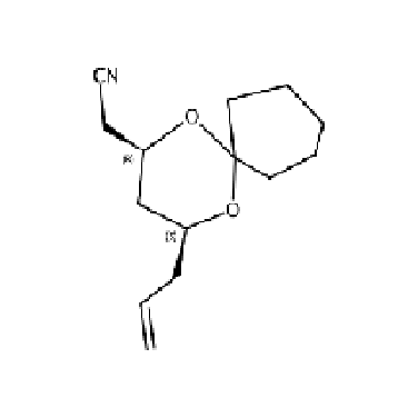 C=CC[C@H]1C[C@@H](CC#N)OC2(CCCCC2)O1